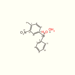 Cc1ccc([B]c2ccccc2)cc1[N+](=O)[O-].O.O